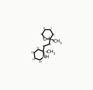 C[C@@]1(CC[C@@]2(C)CCCCO2)CCCCN1